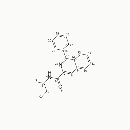 CCC(C)NC(=O)c1cc2ccccc2c(-c2ccccc2)n1